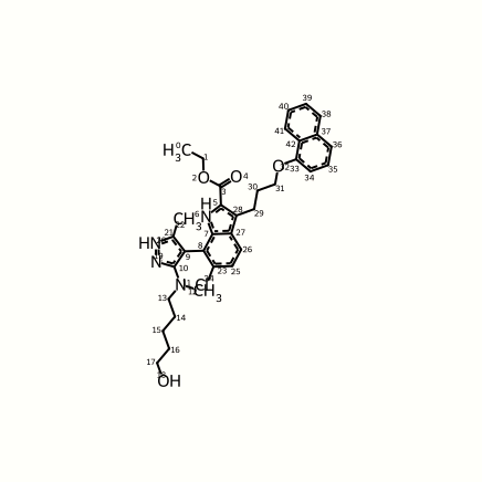 CCOC(=O)c1[nH]c2c(-c3c(N(C)CCCCCO)n[nH]c3C)c(Cl)ccc2c1CCCOc1cccc2ccccc12